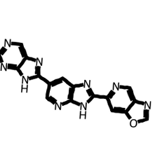 c1ncc2nc(-c3cnc4[nH]c(-c5cc6ocnc6cn5)nc4c3)[nH]c2n1